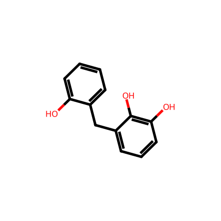 Oc1ccccc1Cc1cccc(O)c1O